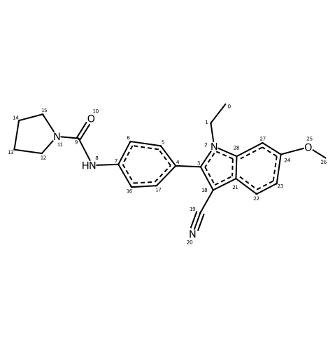 CCn1c(-c2ccc(NC(=O)N3CCCC3)cc2)c(C#N)c2ccc(OC)cc21